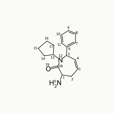 NC1CC=CC(c2ccccc2)N(C2CCCC2)C1=O